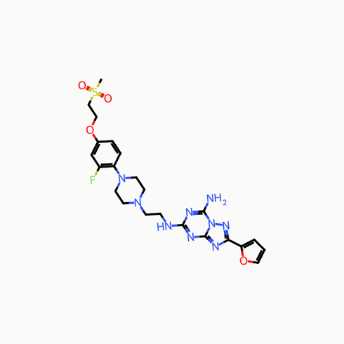 CS(=O)(=O)CCOc1ccc(N2CCN(CCNc3nc(N)n4nc(-c5ccco5)nc4n3)CC2)c(F)c1